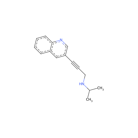 CC(C)NCC#Cc1cnc2ccccc2c1